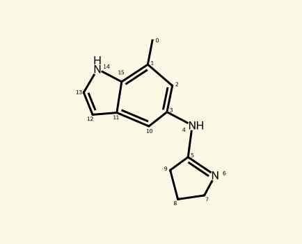 Cc1cc(NC2=NCCC2)cc2cc[nH]c12